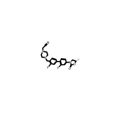 C[C@H]1CN(c2ccc(-c3ccc(CN4CCN(CC#N)CC4)c(F)c3)c(F)c2)C(=O)O1